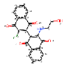 O=C1C(Cl)=C(C2=C(NCCO)C(=O)c3ccccc3C2=O)C(=O)c2ccccc21